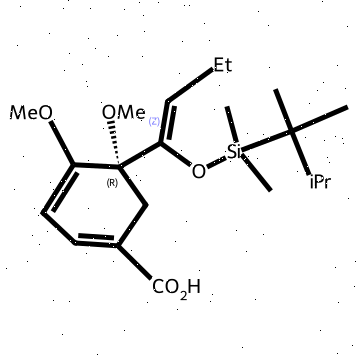 CC/C=C(\O[Si](C)(C)C(C)(C)C(C)C)[C@@]1(OC)CC(C(=O)O)=CC=C1OC